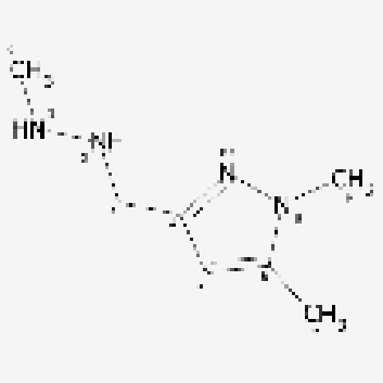 CNNCc1cc(C)n(C)n1